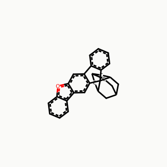 c1ccc2c(c1)-c1cc3oc4ccccc4c3cc1C21C2CC3CCC(C2)CC1C3